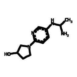 CC(N)Nc1ccc(N2CCC(O)C2)nc1